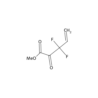 C=CC(F)(F)C(=O)C(=O)OC